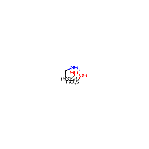 NCC(=O)O.O=S(=O)(O)O.O=S(=O)(O)O